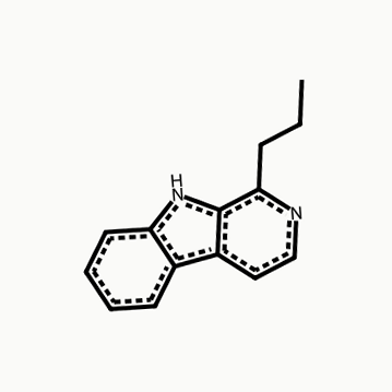 CCCc1nccc2c1[nH]c1ccccc12